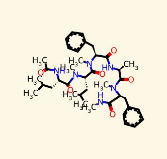 CNC(=O)[C@H](Cc1ccccc1)N(C)C(=O)[C@H](C)NC(=O)[C@H](Cc1ccccc1)N(C)C(=O)[C@H](CC(C)C)N(C)C(=O)[C@H](CC(C)C)NC(C)=O